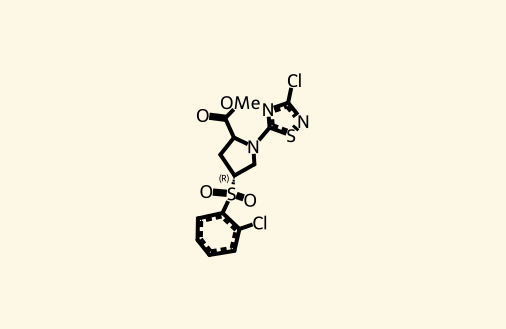 COC(=O)C1C[C@@H](S(=O)(=O)c2ccccc2Cl)CN1c1nc(Cl)ns1